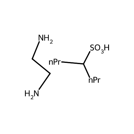 CCCC(CCC)S(=O)(=O)O.NCCN